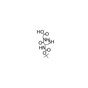 CC(C)(C)OC(=O)NC(CS)C(=O)NCC(=O)O